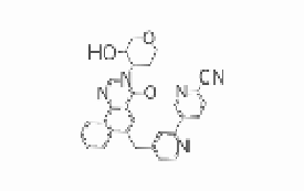 N#Cc1ccc(-c2cc(Cc3cc4c(=O)n(C5CCOC[C@@H]5O)cnc4c4ccccc34)ccn2)cn1